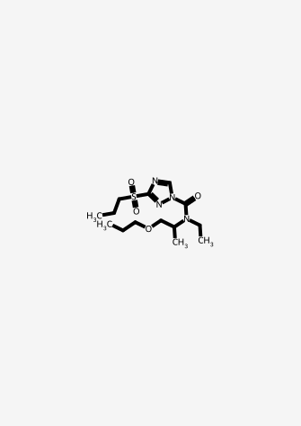 CCCOCC(C)N(CC)C(=O)n1cnc(S(=O)(=O)CCC)n1